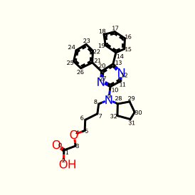 O=C(O)COCCCCN(c1cnc(-c2ccccc2)c(-c2ccccc2)n1)C1CCCC1